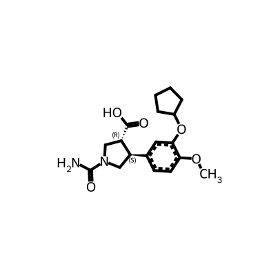 COc1ccc([C@H]2CN(C(N)=O)C[C@@H]2C(=O)O)cc1OC1CCCC1